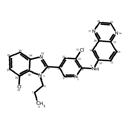 CCCn1c(-c2cnc(Nc3ccc4nccnc4c3)c(Cl)c2)nc2cccc(Cl)c21